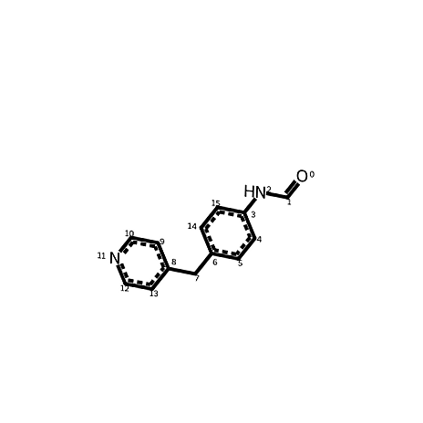 O=CNc1ccc(Cc2ccncc2)cc1